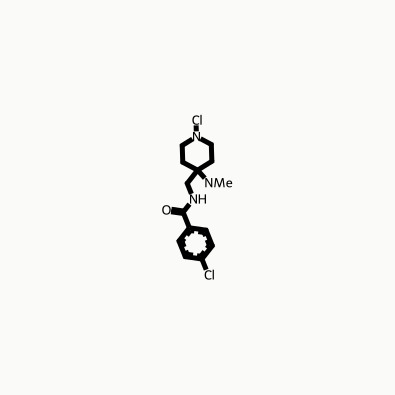 CNC1(CNC(=O)c2ccc(Cl)cc2)CCN(Cl)CC1